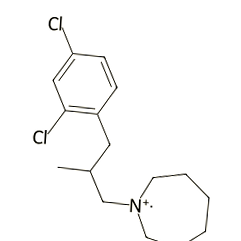 CC(Cc1ccc(Cl)cc1Cl)C[N+]1CCCCCC1